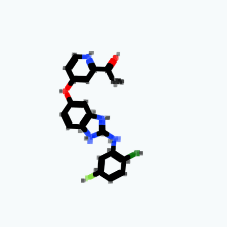 CNC(=O)c1cc(Oc2ccc3[nH]c(Nc4cc(F)ccc4Cl)nc3c2)ccn1